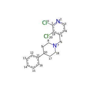 Clc1nccc(CN2CCC(c3ccccc3)CC2)c1Cl